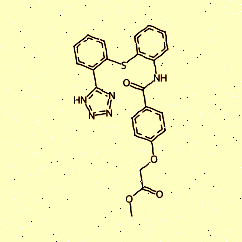 COC(=O)COc1ccc(C(=O)Nc2ccccc2Sc2ccccc2-c2nnn[nH]2)cc1